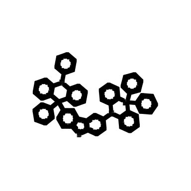 c1ccc(N2c3ccccc3C(c3ccccc3)(c3ccc4sc5ccc(N6c7ccccc7[Si](c7ccccc7)(c7ccccc7)c7ccccc76)cc5c4c3)c3ccccc32)cc1